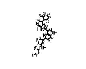 CC(C)CC(=O)Nc1cncc(-c2ccc3[nH]nc(-c4nc5c(-c6ccccc6F)cncc5[nH]4)c3n2)c1